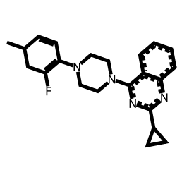 CC1C=CC(N2CCN(c3nc(C4CC4)nc4ccccc34)CC2)=C(F)C1